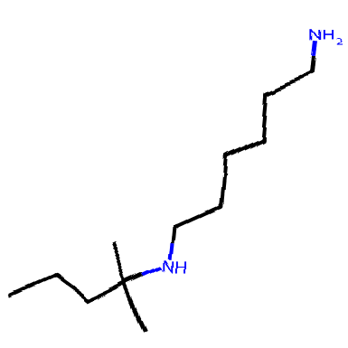 CCCC(C)(C)NCCCCCCN